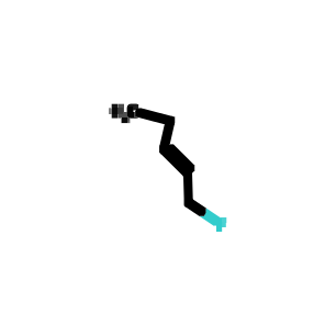 [CH2]CC=CCF